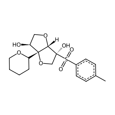 Cc1ccc(S(=O)(=O)[C@@]2(O)CO[C@]3(C4CCCCO4)[C@@H](O)CO[C@@H]32)cc1